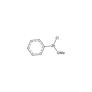 C[O][Zn]([Cl])[c]1ccccc1